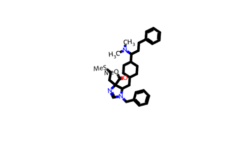 COC(=O)C1(CCSC)N=CN(Cc2ccccc2)C1CC1CCC(C(CCc2ccccc2)N(C)C)CC1